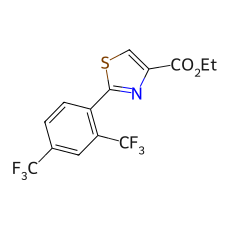 CCOC(=O)c1csc(-c2ccc(C(F)(F)F)cc2C(F)(F)F)n1